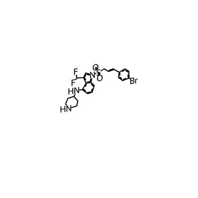 O=S(=O)(CC=Cc1ccc(Br)cc1)n1cc(C(F)F)c2c(NC3CCNCC3)cccc21